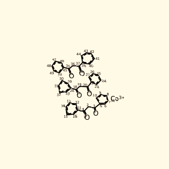 O=C(CC(=O)c1ccccc1)c1ccccc1.O=C(CC(=O)c1ccccc1)c1ccccc1.O=C(CC(=O)c1ccccc1)c1ccccc1.[Co+3]